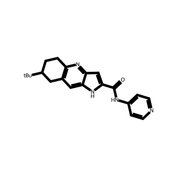 CC(C)(C)C1CCc2nc3cc(C(=O)Nc4ccncc4)[nH]c3cc2C1